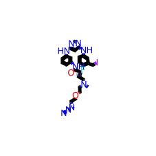 CN(C/C=C/C(=O)Nc1cccc(Nc2cc(Nc3ccc(F)c(CI)c3)ncn2)c1)CCOCCN=[N+]=[N-]